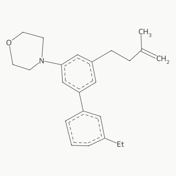 C=C(C)CCc1cc(-c2cccc(CC)c2)cc(N2CCOCC2)c1